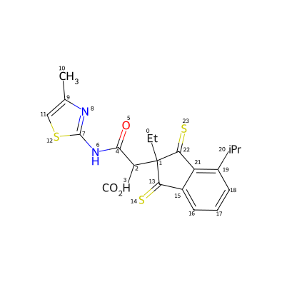 CCC1(C(C(=O)O)C(=O)Nc2nc(C)cs2)C(=S)c2cccc(C(C)C)c2C1=S